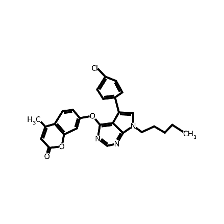 CCCCCn1cc(-c2ccc(Cl)cc2)c2c(Oc3ccc4c(C)cc(=O)oc4c3)ncnc21